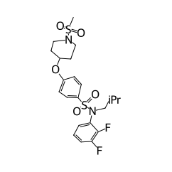 CC(C)CN(c1cccc(F)c1F)S(=O)(=O)c1ccc(OC2CCN(S(C)(=O)=O)CC2)cc1